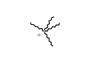 CCCCCCCC[N+](CCCCCCCC)(CCCCCCCC)CCCCCCCC.[Cl-]